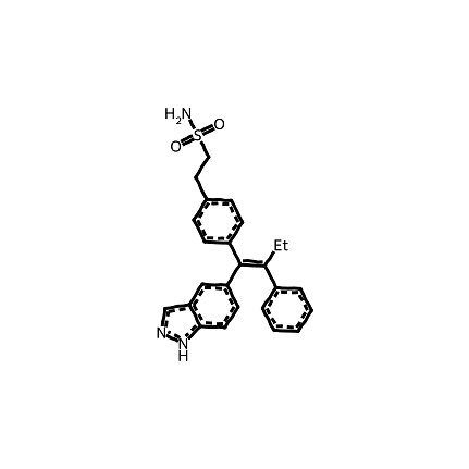 CCC(=C(c1ccc(CCS(N)(=O)=O)cc1)c1ccc2[nH]ncc2c1)c1ccccc1